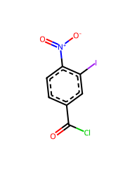 O=C(Cl)c1ccc([N+](=O)[O-])c(I)c1